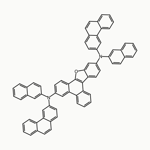 c1ccc2cc(N(c3ccc4c(c3)oc3c5ccc(N(c6ccc7ccccc7c6)c6ccc7ccc8ccccc8c7c6)cc5c5ccccc5c43)c3ccc4ccc5ccccc5c4c3)ccc2c1